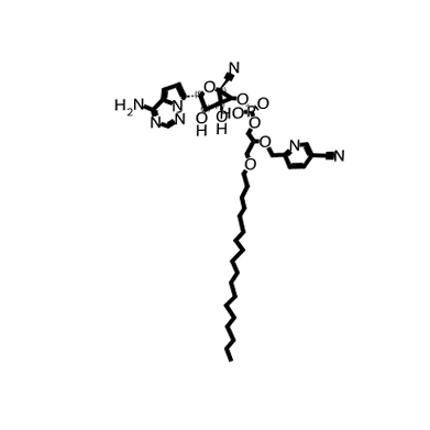 CCCCCCCCCCCCCCCCCCOCC(COP(=O)(O)OC1[C@@]2(C#N)O[C@@H](c3ccc4c(N)ncnn34)[C@H](O)[C@@]12O)OCc1ccc(C#N)cn1